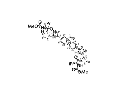 COC(=O)N[C@H](C(=O)N1CCC[C@H]1c1ncc(-c2ccc3c(cnc4cc(-c5cnc([C@@H]6CCCN6C(=O)[C@@H](NC(=O)OC)C(C)C)[nH]5)ccc43)c2)[nH]1)C(C)C